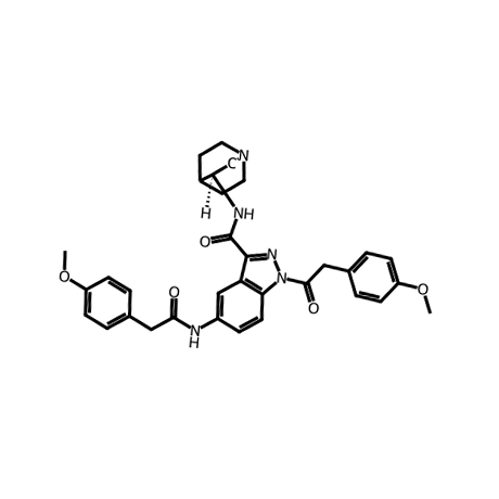 COc1ccc(CC(=O)Nc2ccc3c(c2)c(C(=O)N[C@@H]2CN4CCC2CC4)nn3C(=O)Cc2ccc(OC)cc2)cc1